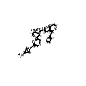 NC1CN(c2cncc(-c3cc4c(-c5cc6c(-c7cccs7)nccc6[nH]5)n[nH]c4cn3)n2)C1